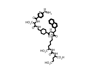 NNc1ccc(C(=O)NC(C(=O)O)C(=O)NCC2CCC(C(=O)NC(Cc3ccc4ccccc4c3)C(=O)NCCCCC(NC(=O)NC(CCC(=O)O)C(=O)O)C(=O)O)CC2)cn1